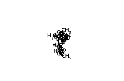 C=C1CC2C(=O)c3cc(OC)c(OCCCCCOc4cc5c(cc4OC)C(=O)N4CC(=C)C[C@H]4C(=O)N5)cc3N(C(=O)OCCSSc3ccc([N+](=O)[O-])cn3)[C@@H](O)[C@@H]2C1